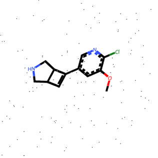 COc1cc(C2=CC3CNCC23)cnc1Cl